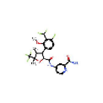 COc1c(C2C(C(=O)Nc3ccnc(C(N)=O)c3)OC(C)(C(F)(F)F)C2C)ccc(F)c1C(F)F